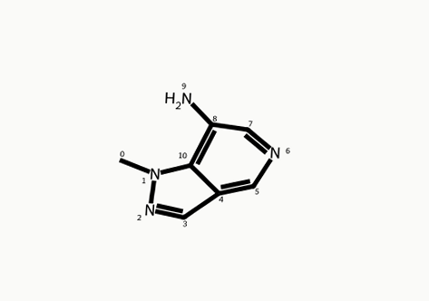 Cn1ncc2cncc(N)c21